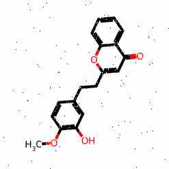 COc1ccc(CCc2cc(=O)c3ccccc3o2)cc1O